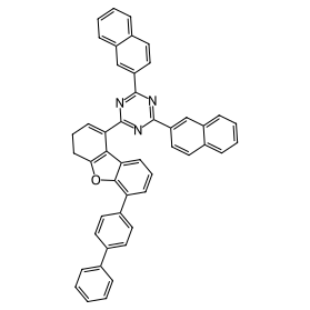 C1=C(c2nc(-c3ccc4ccccc4c3)nc(-c3ccc4ccccc4c3)n2)c2c(oc3c(-c4ccc(-c5ccccc5)cc4)cccc23)CC1